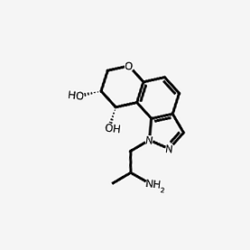 CC(N)Cn1ncc2ccc3c(c21)[C@H](O)[C@H](O)CO3